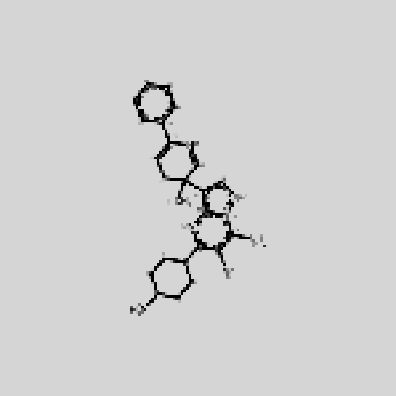 CC(=O)c1c(C2CCC(N)CC2)nc2c(C3(C)C=NC(c4ccccc4)=CC3)cnn2c1N